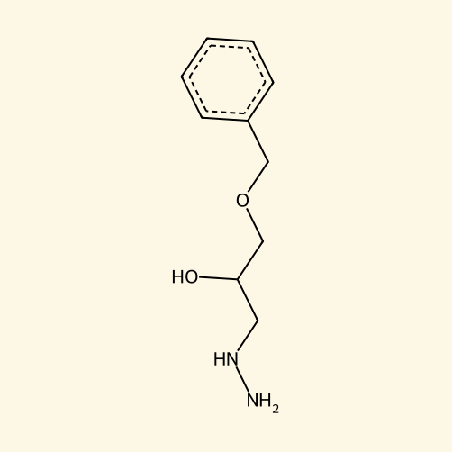 NNCC(O)COCc1ccccc1